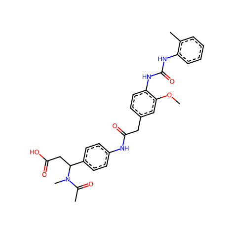 COc1cc(CC(=O)Nc2ccc(C(CC(=O)O)N(C)C(C)=O)cc2)ccc1NC(=O)Nc1ccccc1C